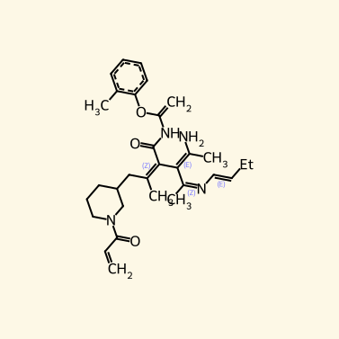 C=CC(=O)N1CCCC(C/C(C)=C(C(=O)NC(=C)Oc2ccccc2C)/C(C(/C)=N\C=C\CC)=C(/C)N)C1